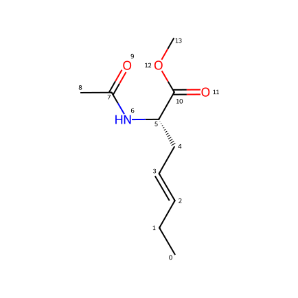 CCC=CC[C@H](NC(C)=O)C(=O)OC